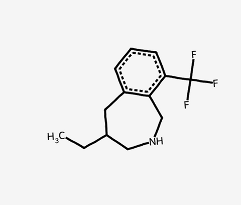 CCC1CNCc2c(cccc2C(F)(F)F)C1